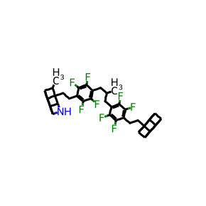 CC(Cc1c(F)c(F)c(CCC23C(C)C4C5NC2C5C43)c(F)c1F)Cc1c(F)c(F)c(CCC23C4C5C6C4C2C6C53)c(F)c1F